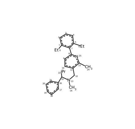 CCc1cccc(CC)c1-c1ccc(CN(C)C(c2ccccc2)C(C)C)c(C)n1